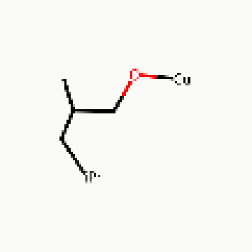 CC(C)CC(C)C[O][Cu]